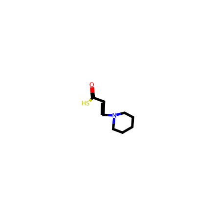 O=C(S)/C=C/N1CCCCC1